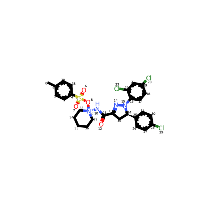 Cc1ccc(S(=O)(=O)O[N+]2(NC(=O)C3=NN(c4ccc(Cl)cc4Cl)[C@@H](c4ccc(Cl)cc4)C3)CCCCC2)cc1